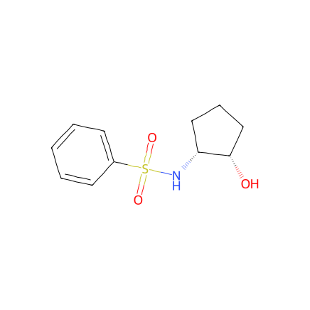 O=S(=O)(N[C@@H]1CCC[C@@H]1O)c1ccccc1